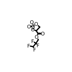 O=C(OCC(F)(F)C(F)F)C1COS(=O)(=O)O1